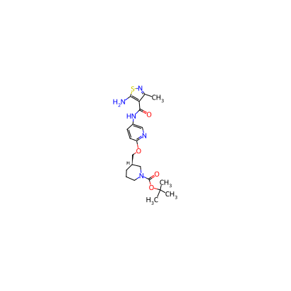 Cc1nsc(N)c1C(=O)Nc1ccc(OC[C@@H]2CCCN(C(=O)OC(C)(C)C)C2)nc1